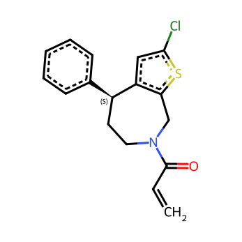 C=CC(=O)N1CC[C@@H](c2ccccc2)c2cc(Cl)sc2C1